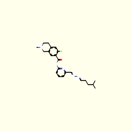 CC(C)CC/C=N/N=C/c1cccc(NC(=O)c2cc3c(cc2F)CCN(C)C3)n1